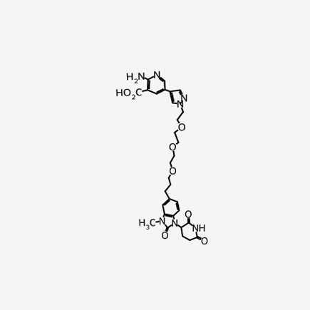 Cn1c(=O)n(C2CCC(=O)NC2=O)c2ccc(CCCOCCOCCOCCn3cc(-c4cnc(N)c(C(=O)O)c4)cn3)cc21